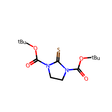 CC(C)(C)OC(=O)N1CCN(C(=O)OC(C)(C)C)C1=S